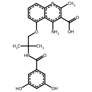 Cc1nc2cccc(OCC(C)(C)NC(=O)c3cc(O)cc(O)c3)c2c(N)c1C(=O)O